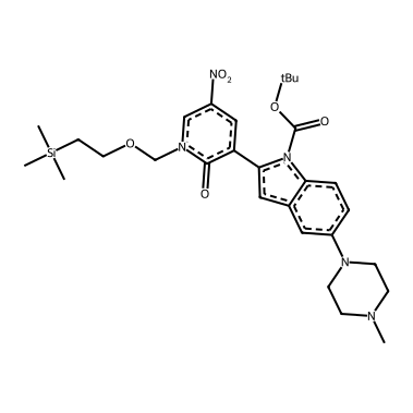 CN1CCN(c2ccc3c(c2)cc(-c2cc([N+](=O)[O-])cn(COCC[Si](C)(C)C)c2=O)n3C(=O)OC(C)(C)C)CC1